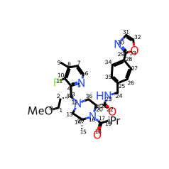 COCC[C@H](c1nccc(C)c1F)N1C[C@@H](C)N(C(=O)C(C)C)[C@@H](C(=O)NCc2ccc(-c3ncco3)cc2)C1